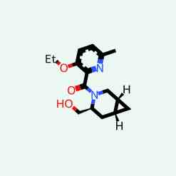 CCOc1ccc(C)nc1C(=O)N1C[C@@H]2C[C@@H]2C[C@H]1CO